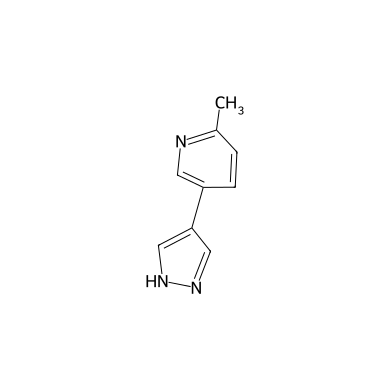 Cc1ccc(-c2cn[nH]c2)cn1